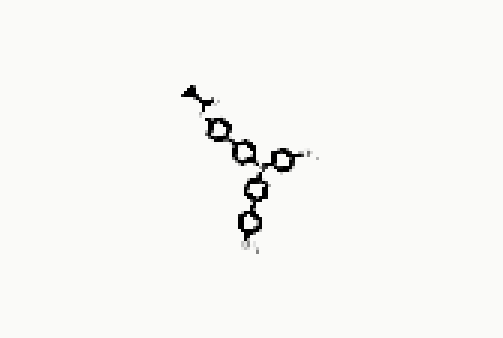 Bc1ccc(-c2ccc(N(c3ccc(C)cc3)c3ccc(-c4ccc(OC(=O)C5=CC5)cc4)cc3)cc2)cc1